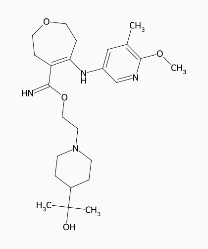 COc1ncc(NC2=C(C(=N)OCCN3CCC(C(C)(C)O)CC3)CCOCC2)cc1C